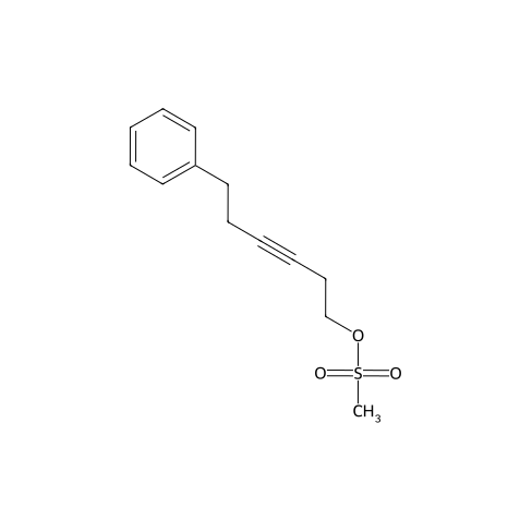 CS(=O)(=O)OCCC#CCCc1ccccc1